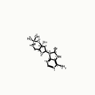 Nc1ncnc2c1NC(Br)N2C1C[C@@H]2O[PH](O)(O)OCC2O1